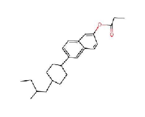 CCC(=O)Oc1ccc2cc(C3CCC(CC(C)CC)CC3)ccc2c1